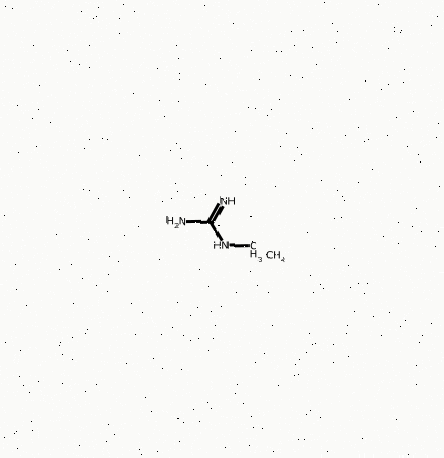 C.CNC(=N)N